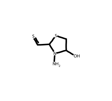 NN1C(O)CSC1C=S